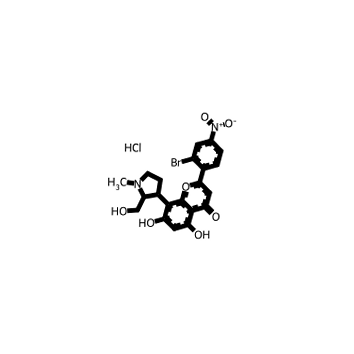 CN1CCC(c2c(O)cc(O)c3c(=O)cc(-c4ccc([N+](=O)[O-])cc4Br)oc23)C1CO.Cl